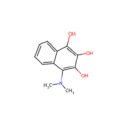 CN(C)c1c(O)c(O)c(O)c2ccccc12